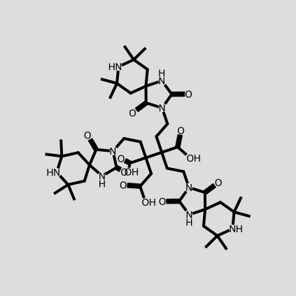 CC1(C)CC2(CC(C)(C)N1)NC(=O)N(CCC(CCN1C(=O)NC3(CC(C)(C)NC(C)(C)C3)C1=O)(C(=O)O)C(CCN1C(=O)NC3(CC(C)(C)NC(C)(C)C3)C1=O)(CC(=O)O)C(=O)O)C2=O